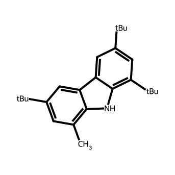 Cc1cc(C(C)(C)C)cc2c1[nH]c1c(C(C)(C)C)cc(C(C)(C)C)cc12